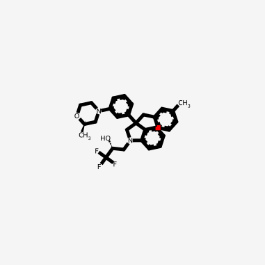 Cc1cccc(CC2(c3cccc(N4CCO[C@H](C)C4)c3)CN(C[C@@H](O)C(F)(F)F)c3ccccc32)c1